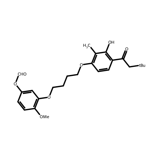 COc1ccc(OC=O)cc1OCCCCOc1ccc(C(=O)CC(C)(C)C)c(O)c1C